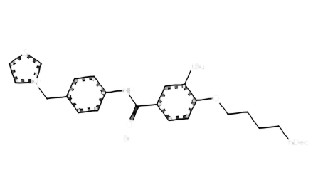 CCCCCCCCCCCCCCOc1ccc(C(=O)Nc2ccc(C[n+]3ccsc3)cc2)cc1C(C)(C)C.[Br-]